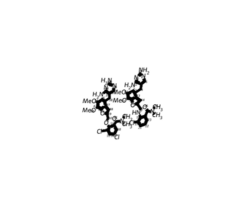 COc1cc(Cc2cnc(N)nc2N)c2cc(CNc3c(Cl)cccc3C(=O)N(C)C)oc2c1OC.COc1cc(Cc2cnc(N)nc2N)c2cc(COc3c(Cl)cc(Cl)cc3C(=O)N(C)C)oc2c1OC